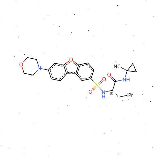 CC(C)C[C@H](NS(=O)(=O)c1ccc2oc3cc(N4CCOCC4)ccc3c2c1)C(=O)NC1(C#N)CC1